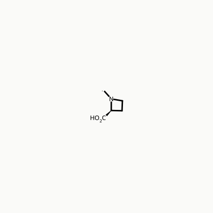 [CH2]N1CC[C@H]1C(=O)O